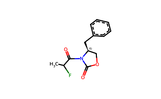 CC(F)C(=O)N1C(=O)OC[C@@H]1Cc1ccccc1